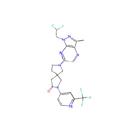 Cc1nn(CC(F)F)c2nc(N3CCC4(CC(=O)N(c5ccnc(C(F)(F)F)c5)C4)C3)cnc12